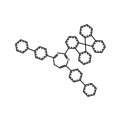 C1=C(c2ccc(-c3ccccc3)cc2)N=C(c2cccc3c2-c2ccccc2C32c3ccccc3-c3ccccc32)N=C(c2ccc(-c3ccccc3)cc2)C1